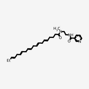 CCC=CCC=CCC=CCC=CCC=CCCCC(=O)N(C)CCNC(=O)c1cccnc1